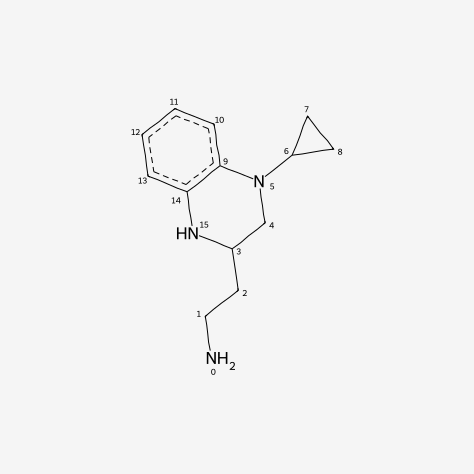 NCCC1CN(C2CC2)c2ccccc2N1